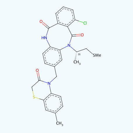 CSC[C@H](C)N1C(=O)c2c(Cl)cccc2C(=O)Nc2ccc(CN3C(=O)CSc4cc(C)ccc43)cc21